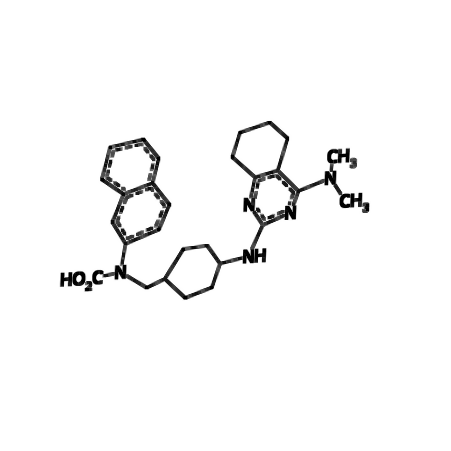 CN(C)c1nc(NC2CCC(CN(C(=O)O)c3ccc4ccccc4c3)CC2)nc2c1CCCC2